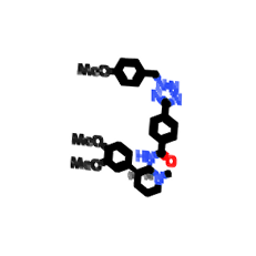 COc1ccc(Cn2nnc(-c3ccc(C(=O)N[C@@H]4[C@H](c5ccc(OC)c(OC)c5)CCCN4C)cc3)n2)cc1